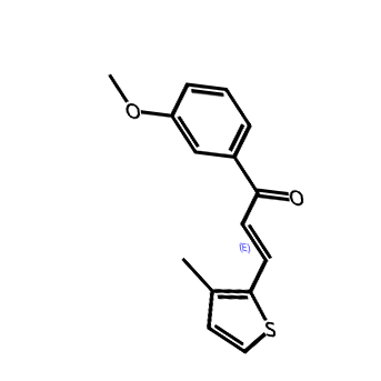 COc1cccc(C(=O)/C=C/c2sccc2C)c1